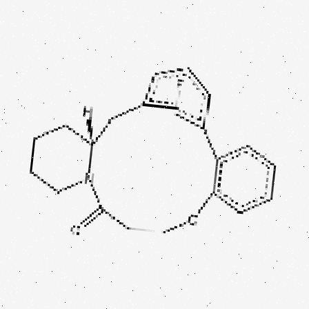 O=C1CCOc2ccccc2-c2cccc(c2F)C[C@H]2CCCCN12